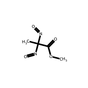 COC(=O)C(C)(N=O)N=O